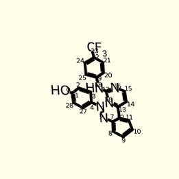 Oc1ccc(N=Nc2ccccc2-c2ccnc(Nc3ccc(C(F)(F)F)cc3)n2)cc1